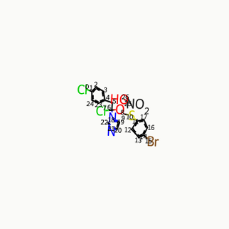 Clc1ccc(CC(Cl)(OCSc2ccc(Br)cc2)n2ccnc2)cc1.O=[N+]([O-])O